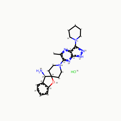 Cc1nc2c(N3CCCCC3)n[nH]c2nc1N1CCC2(CC1)Oc1ccccc1[C@H]2N.Cl